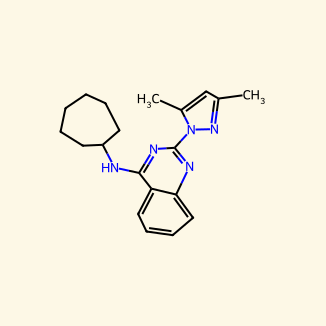 Cc1cc(C)n(-c2nc(NC3CCCCCC3)c3ccccc3n2)n1